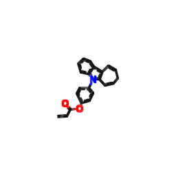 C=CC(=O)Oc1ccc(-n2c3c(c4ccccc42)C=CCC=C3)cc1